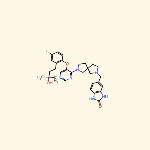 CC(C)(O)CCc1cc(F)ccc1Oc1cncnc1N1CCC2(CCN(Cc3ccc4[nH]c(=O)[nH]c4c3)C2)C1